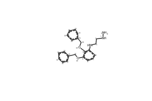 NNCCNc1cccc(OCc2ccccc2)c1OCc1ccccc1